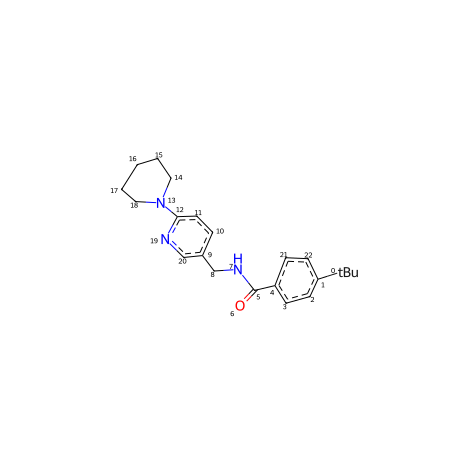 CC(C)(C)c1ccc(C(=O)NCc2ccc(N3CCCCC3)nc2)cc1